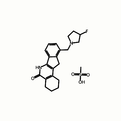 CS(=O)(=O)O.O=c1[nH]c2c(c3c1CCCC3)Cc1c(CN3CCC(F)C3)cccc1-2